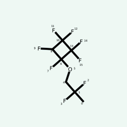 CC(F)(F)COC1(F)C(F)C(F)(F)C1(F)F